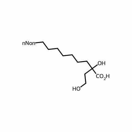 CCCCCCCCCCCCCCCCC(O)(CCO)C(=O)O